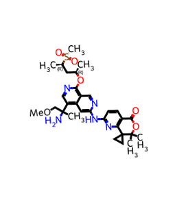 COCC(C)(N)c1cnc(O[C@H](C)C[C@@H](C)S(C)(=O)=O)c2cnc(Nc3ccc4c(n3)C3(CC3)C(C)(C)OC4=O)cc12